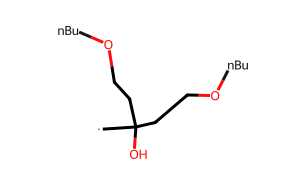 [CH2]C(O)(CCOCCCC)CCOCCCC